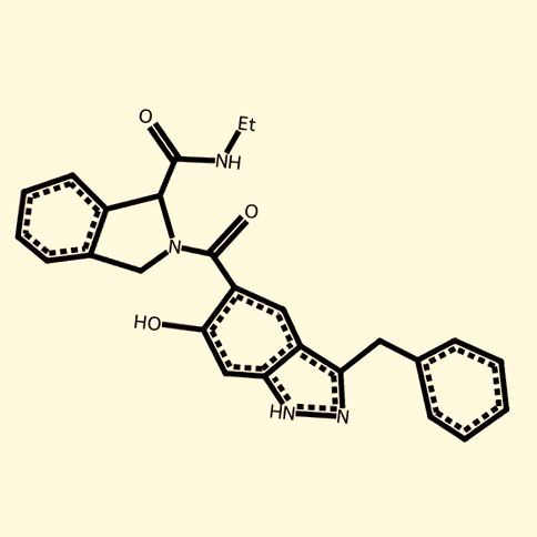 CCNC(=O)C1c2ccccc2CN1C(=O)c1cc2c(Cc3ccccc3)n[nH]c2cc1O